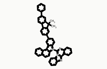 CC1(C)c2cc(-c3ccccc3)ccc2-c2ccc(-c3ccc4c(c3)c3c5ccccc5ccc3n4-c3nc4ccccc4c4nc5ccccc5n34)cc21